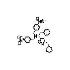 O=[N+]([O-])c1ccc(CN(Cc2ccc([N+](=O)[O-])cc2)C(Cc2ccccc2)C2CC(Cc3ccccc3)=NO2)cc1